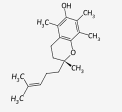 CC(C)=CCC[C@]1(C)CCc2c(C)c(O)c(C)c(C)c2O1